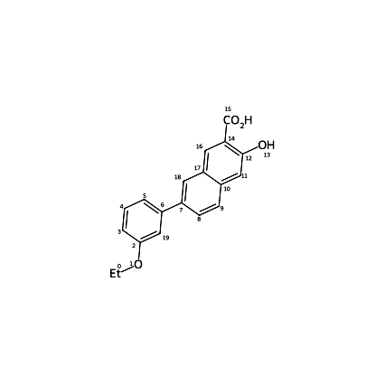 CCOc1cccc(-c2ccc3cc(O)c(C(=O)O)cc3c2)c1